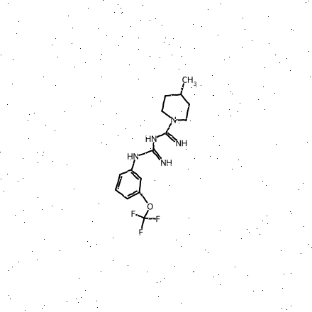 CC1CCN(C(=N)NC(=N)Nc2cccc(OC(F)(F)F)c2)CC1